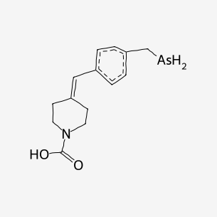 O=C(O)N1CCC(=Cc2ccc(C[AsH2])cc2)CC1